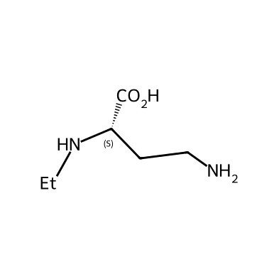 CCN[C@@H](CCN)C(=O)O